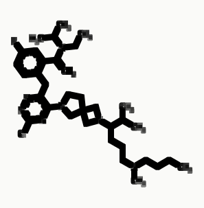 C=C(c1cc(F)ccc1Cc1nnc(Cl)nc1N1CCC2(C1)CN(C(CCCN(C)CCCC)C(C)C)C2)N(CC)C(C)C